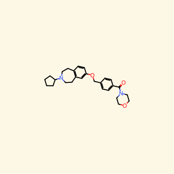 O=C(c1ccc(COc2ccc3c(c2)CCN(C2CCCC2)CC3)cc1)N1CCOCC1